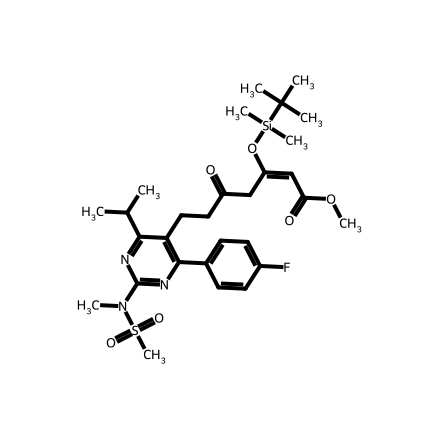 COC(=O)C=C(CC(=O)CCc1c(-c2ccc(F)cc2)nc(N(C)S(C)(=O)=O)nc1C(C)C)O[Si](C)(C)C(C)(C)C